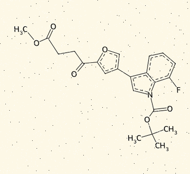 COC(=O)CCC(=O)c1cc(-c2cn(C(=O)OC(C)(C)C)c3c(F)cccc23)co1